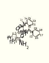 CCC[C@H](C(N)=O)C(CC(C)C)C(=O)N[C@H]1N=C(c2ccccc2)c2ccccc2N(C)C1=O